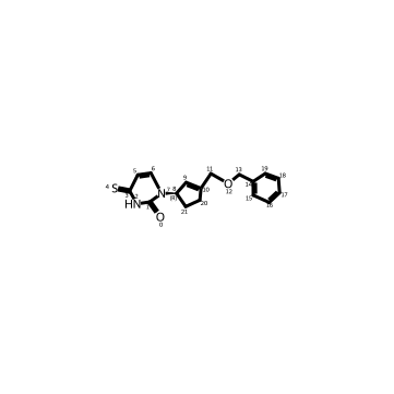 O=c1[nH]c(=S)ccn1[C@H]1C=C(COCc2ccccc2)CC1